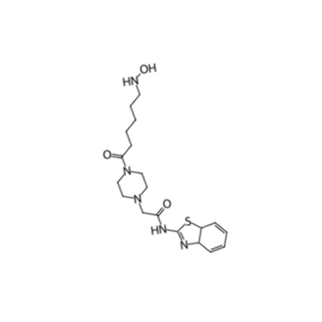 O=C(CN1CCN(C(=O)CCCCCNO)CC1)NC1=NC2C=CC=CC2S1